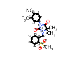 CC1(C)C(=O)N(c2ccc(C#N)c(C(F)(F)F)c2)C(=O)N1Cc1ccccc1S(C)(=O)=O